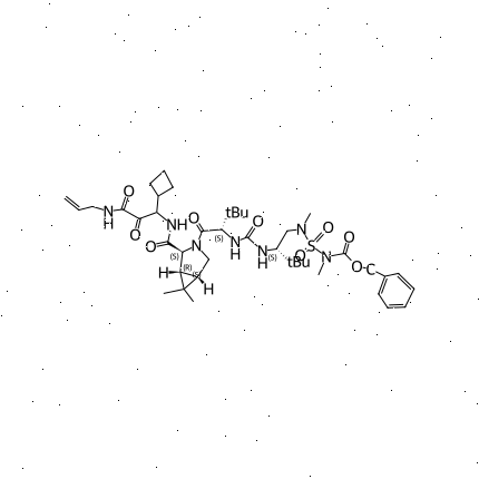 C=CCNC(=O)C(=O)C(NC(=O)[C@@H]1[C@@H]2[C@H](CN1C(=O)[C@@H](NC(=O)N[C@H](CN(C)S(=O)(=O)N(C)C(=O)OCc1ccccc1)C(C)(C)C)C(C)(C)C)C2(C)C)C1CCC1